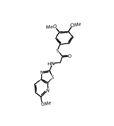 COc1ccc2nc(NCC(=O)Sc3ccc(OC)c(OC)c3)sc2n1